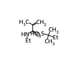 C=C(C)C(=O)NCC.CCC(C)(C)S(=O)(=O)O